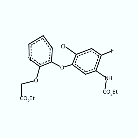 CCOC(=O)COc1ncccc1Oc1cc(NC(=O)OCC)c(F)cc1Cl